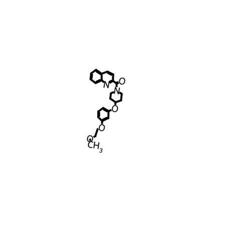 COCCOc1cccc(OC2CCN(C(=O)c3ccc4ccccc4n3)CC2)c1